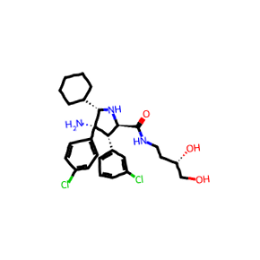 N[C@]1(c2ccc(Cl)cc2)[C@H](C2CCCCC2)N[C@@H](C(=O)NCC[C@H](O)CO)[C@@H]1c1cccc(Cl)c1